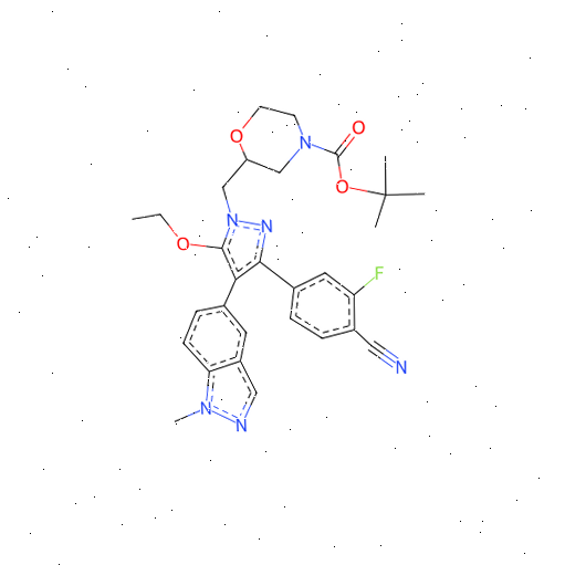 CCOc1c(-c2ccc3c(cnn3C)c2)c(-c2ccc(C#N)c(F)c2)nn1CC1CN(C(=O)OC(C)(C)C)CCO1